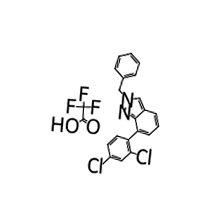 Clc1ccc(-c2cccc3cn(Cc4ccccc4)nc23)c(Cl)c1.O=C(O)C(F)(F)F